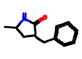 CC1CC(Cc2ccccc2)C(=O)N1